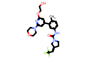 Cc1ccc(NC(=O)N2CC/C(=C/C(F)(F)F)C2)cc1-c1cc(OCCO)nc(N2CCOCC2)c1